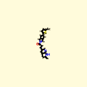 C=C1CCc2cc(/C=C/C(=O)N3CC4C=C(c5ccc(C(C)=O)s5)CC4C3)cnc2N1